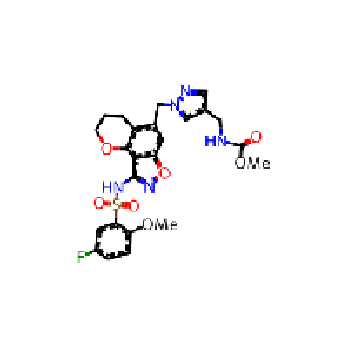 COC(=O)NCc1cnn(Cc2cc3onc(NS(=O)(=O)c4cc(F)ccc4OC)c3c3c2CCCO3)c1